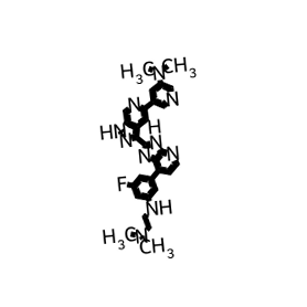 CN(C)CCNc1cc(F)cc(-c2ccnc3[nH]c(-c4n[nH]c5cnc(-c6cncc(N(C)C)c6)cc45)nc23)c1